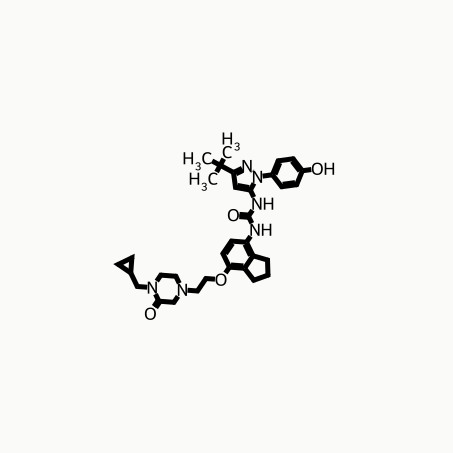 CC(C)(C)c1cc(NC(=O)Nc2ccc(OCCN3CCN(CC4CC4)C(=O)C3)c3c2CCC3)n(-c2ccc(O)cc2)n1